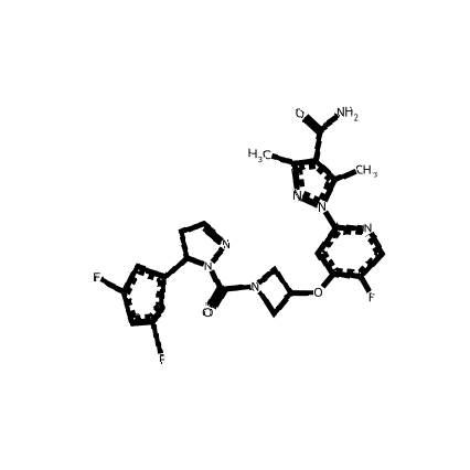 Cc1nn(-c2cc(OC3CN(C(=O)N4N=CCC4c4cc(F)cc(F)c4)C3)c(F)cn2)c(C)c1C(N)=O